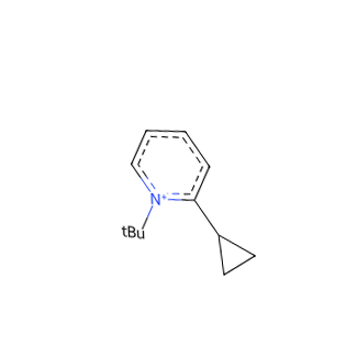 CC(C)(C)[n+]1ccccc1C1CC1